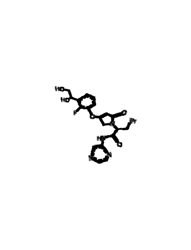 CC(C)C[C@@H](C(=O)Nc1cnccn1)N1CC(Oc2cccc(C(O)CO)c2F)=CC1=O